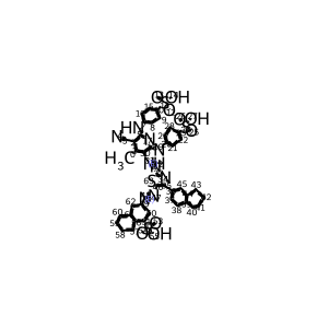 Cc1c(C#N)c(Nc2ccc(S(=O)(=O)O)cc2)nc(Nc2ccc(S(=O)(=O)O)cc2)c1/N=N/c1nc(-c2ccc3ccccc3c2)c(/N=N/c2cc(S(=O)(=O)O)c3ccccc3c2)s1